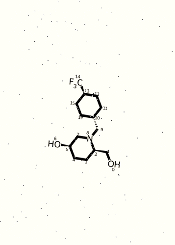 OC[C@H]1CC[C@@H](O)CN1C[C@H]1CC[C@H](C(F)(F)F)CC1